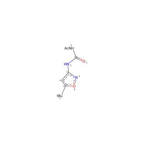 CC(=O)NC(=O)Nc1cc(C(C)(C)C)on1